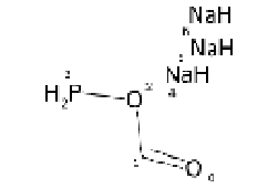 O=COP.[NaH].[NaH].[NaH]